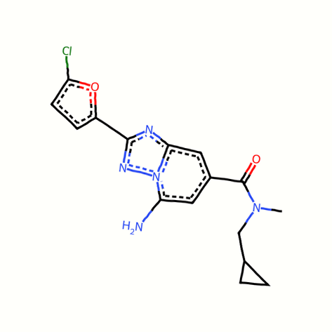 CN(CC1CC1)C(=O)c1cc(N)n2nc(-c3ccc(Cl)o3)nc2c1